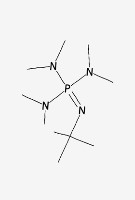 CN(C)P(=NC(C)(C)C)(N(C)C)N(C)C